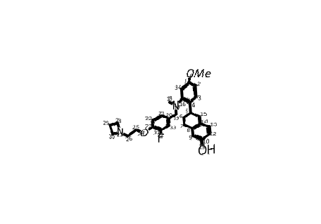 COc1ccc(C2CCc3cc(O)ccc3C2)c(N(C)Cc2ccc(OCCN3CCC3)c(F)c2)c1